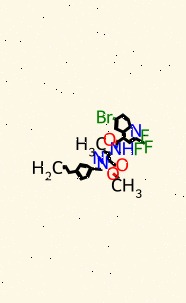 C=CCc1ccc(Cn2nc(C)c(NC(=O)c3cc(C(F)(F)F)nc4ccc(Br)cc34)c2C(=O)OCC)cc1